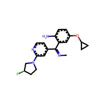 C/N=C(/c1ccnc(N2CC[C@@H](F)C2)c1)c1cc(OC2CC2)ccc1N